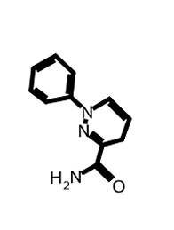 NC(=O)C1=NN(c2ccccc2)C=CC1